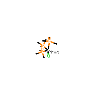 C[PH](C)(C)[Co]([Cl])([CH]=O)([PH](C)(C)C)[PH](C)(C)C